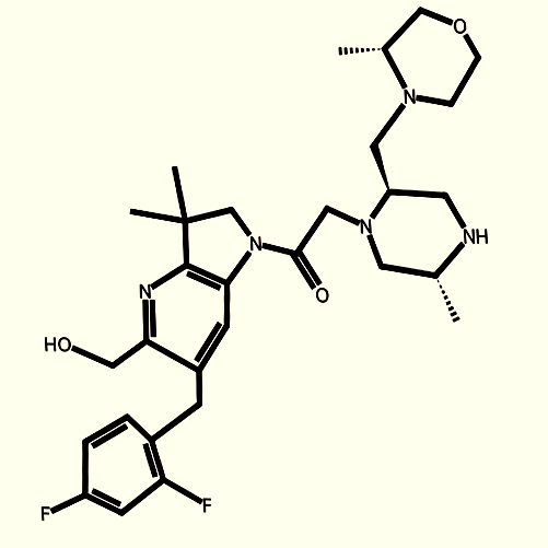 C[C@@H]1CN(CC(=O)N2CC(C)(C)c3nc(CO)c(Cc4ccc(F)cc4F)cc32)[C@@H](CN2CCOC[C@H]2C)CN1